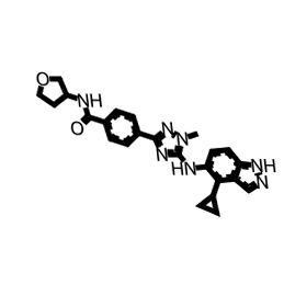 Cn1nc(-c2ccc(C(=O)NC3CCOC3)cc2)nc1Nc1ccc2[nH]ncc2c1C1CC1